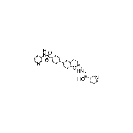 O=S(=O)(Nc1cccnc1)c1ccc(-c2ccc3c(c2)CC[C@H](CNC[C@H](O)c2cccnc2)O3)cc1